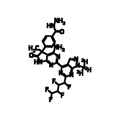 [2H]C([2H])([2H])n1ncc2c(-c3nc(N)c4c(n3)NC(=O)C4(C)c3ccc(C(=O)NN)cc3)nc(C(F)C(F)C(F)C(F)F)nc21